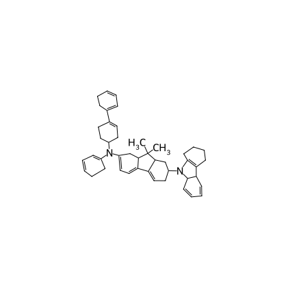 CC1(C)C2CC(N(C3=CC=CCC3)C3CC=C(C4=CC=CCC4)CC3)=CC=C2C2=CCC(N3C4=C(CCCC4)C4C=CC=CC43)CC21